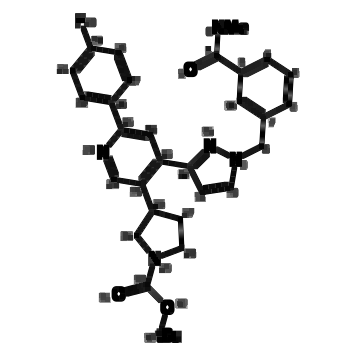 CNC(=O)c1cccc(Cn2ccc(-c3cc(-c4ccc(F)cc4)ncc3C3CCN(C(=O)OC(C)(C)C)C3)n2)c1